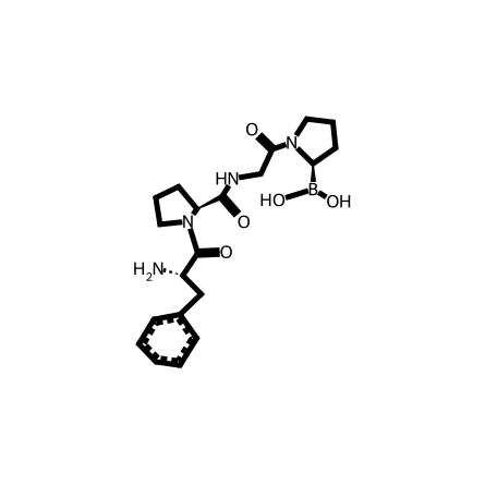 N[C@@H](Cc1ccccc1)C(=O)N1CCC[C@H]1C(=O)NCC(=O)N1CCC[C@H]1B(O)O